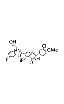 COc1ccc(-c2nn3cc(C(=O)NC(CCO)c4ccc(F)cc4)c(C(C)C)c3c(=O)[nH]2)cc1Cl